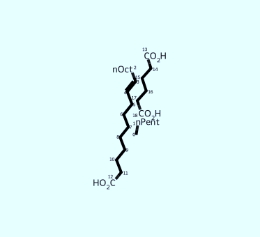 CCCCCC.CCCCCCCCC=CCCCCCCCC(=O)O.O=C(O)CCCCC(=O)O